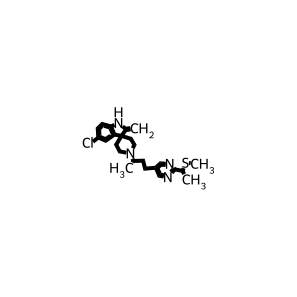 C=C1Nc2ccc(Cl)cc2C12CCN(C(C)CCc1cnc(C(C)SC)nc1)CC2